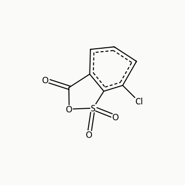 O=C1OS(=O)(=O)c2c(Cl)cccc21